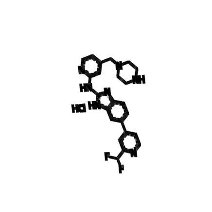 Cl.FC(F)c1cc(-c2ccc3nc(Nc4cc(CN5CCNCC5)ccn4)[nH]c3c2)ccn1